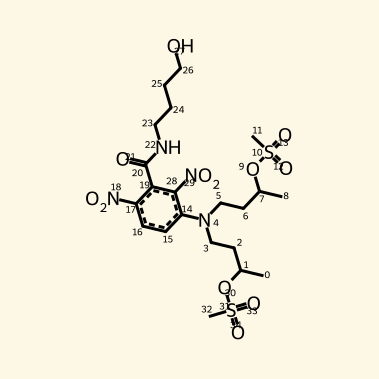 CC(CCN(CCC(C)OS(C)(=O)=O)c1ccc([N+](=O)[O-])c(C(=O)NCCCCO)c1[N+](=O)[O-])OS(C)(=O)=O